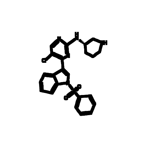 O=S(=O)(c1ccccc1)n1cc(-c2nc(N[C@H]3CCCNC3)ncc2Cl)c2ccccc21